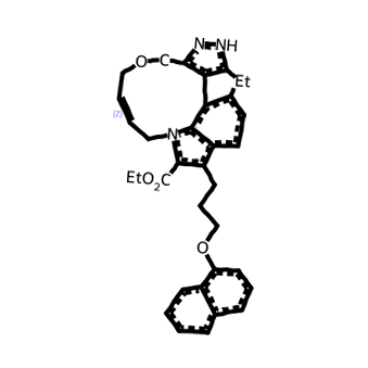 CCOC(=O)c1c(CCCOc2cccc3ccccc23)c2ccc(C)c3c2n1C/C=C\COCc1n[nH]c(CC)c1-3